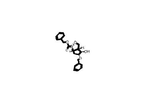 O=C(OCc1ccccc1)N1OC[C@@H]2[C@@H](O)[C@H](OCc3ccccc3)C[C@@H]21